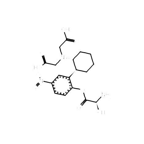 C[C@H](N)C(=O)Oc1ccc([N+](=O)[O-])cc1[C@@H]1CCCC[C@H]1N(CC(=O)O)CC(=O)O